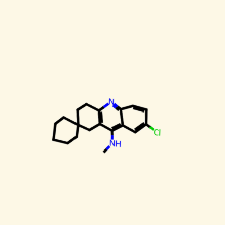 CNc1c2c(nc3ccc(Cl)cc13)CCC1(CCCCC1)C2